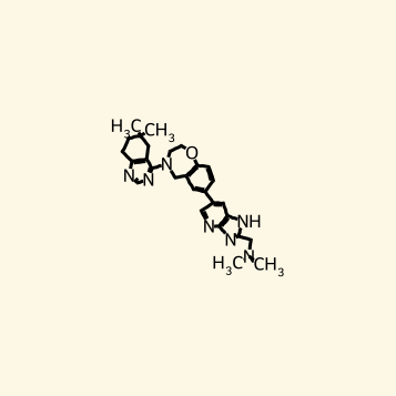 CN(C)Cc1nc2ncc(-c3ccc4c(c3)CN(c3ncnc5c3CC(C)(C)CC5)CCO4)cc2[nH]1